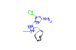 Cc1nc(Cc2ccccc2)n(-c2cc(Cl)nc(N)n2)n1